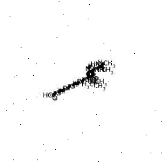 Cc1n[nH]c(Nc2ncnc3cc(OCCOCCOCCOCCOCC(=O)O)c(S(=O)(=O)C(C)(C)C)cc23)c1C